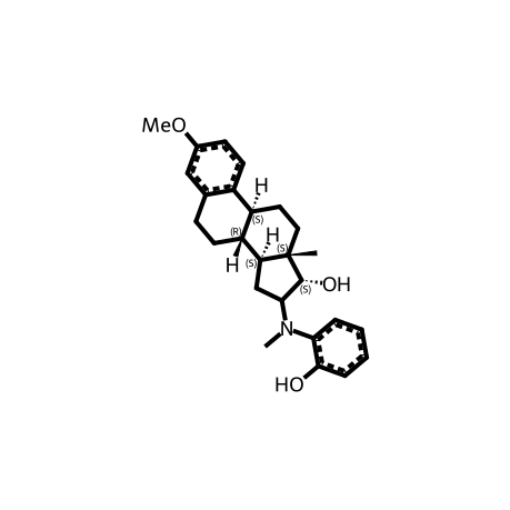 COc1ccc2c(c1)CC[C@@H]1[C@@H]2CC[C@]2(C)[C@H](O)C(N(C)c3ccccc3O)C[C@@H]12